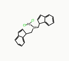 [Cl][Hf]([Cl])[SiH](CC1C=Cc2ccccc21)CC1C=Cc2ccccc21